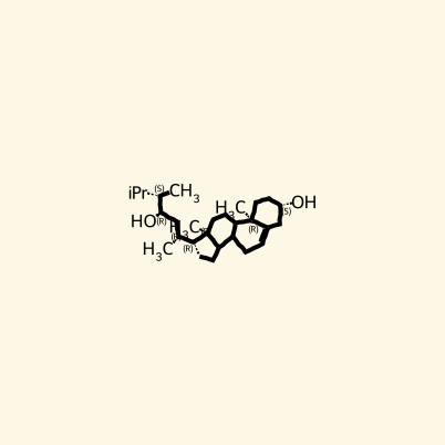 CC(C)[C@H](C)[C@H](O)C[C@@H](C)[C@H]1CCC2C3CC=C4C[C@@H](O)CC[C@]4(C)C3CC[C@@]21C